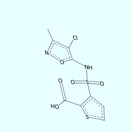 Cc1noc(NS(=O)(=O)c2ccsc2C(=O)O)c1Cl